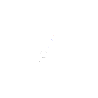 COC(=O)c1ccc(N2CCN(C(=O)C3CCCC3)CC2)cc1